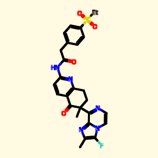 CCS(=O)(=O)c1ccc(CC(=O)Nc2ccc3c(n2)CCC(C)(c2nccn4c(F)c(C)nc24)C3=O)cc1